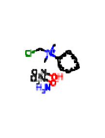 C[N+](C)(CCl)c1ccccc1.N.O=[N+]([O-])O.O=[N+]([O-])[O-]